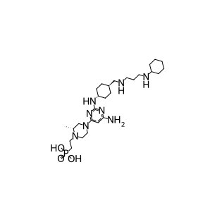 C[C@@H]1CN(c2cc(N)nc(N[C@H]3CC[C@H](CNCCCNC4CCCCC4)CC3)n2)CCN1CCP(=O)(O)O